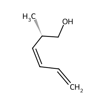 C=C/C=C\[C@H](C)CO